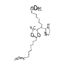 CCCCCCCCCCCCCCCCCC(=O)OC(C)C(CCCCCCCCCCCCCCCC)C1=NCCN1